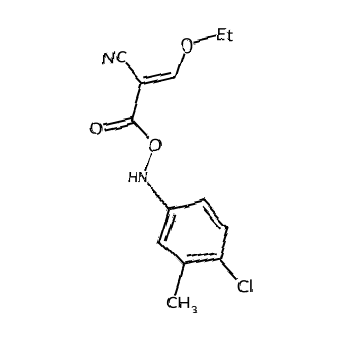 CCOC=C(C#N)C(=O)ONc1ccc(Cl)c(C)c1